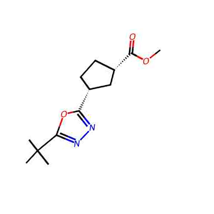 COC(=O)[C@H]1CC[C@@H](c2nnc(C(C)(C)C)o2)C1